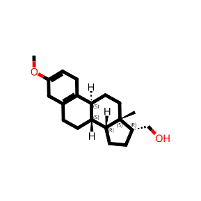 COC1=CCC2=C(CC[C@@H]3[C@@H]2CC[C@]2(C)[C@H](CO)CC[C@H]32)C1